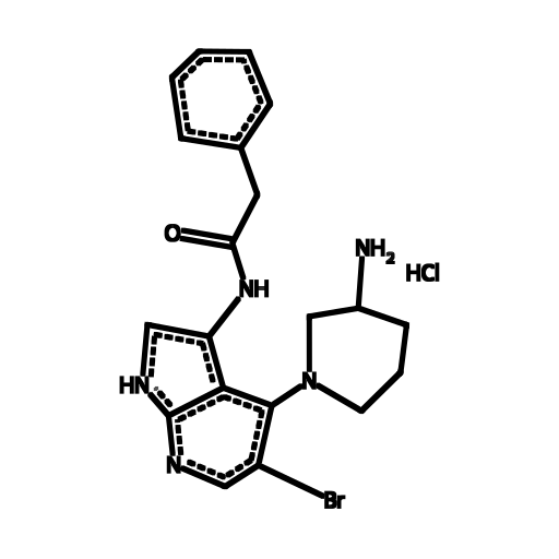 Cl.NC1CCCN(c2c(Br)cnc3[nH]cc(NC(=O)Cc4ccccc4)c23)C1